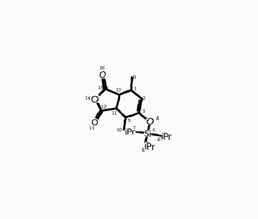 CC1C=C(O[Si](C(C)C)(C(C)C)C(C)C)C(C)C2C(=O)OC(=O)C12